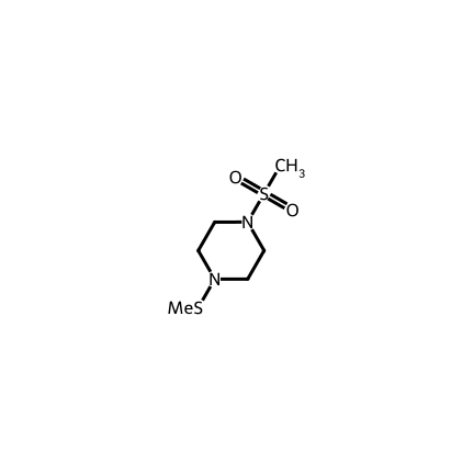 CSN1CCN(S(C)(=O)=O)CC1